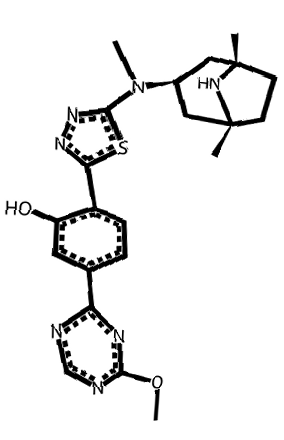 COc1ncnc(-c2ccc(-c3nnc(N(C)[C@H]4C[C@]5(C)CC[C@](C)(C4)N5)s3)c(O)c2)n1